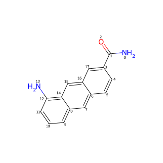 NC(=O)c1ccc2cc3cccc(N)c3cc2c1